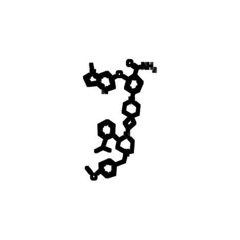 COc1ccc(CN2CCN(C3CC4(CCN(c5ccc(C(N)=O)c(Oc6cnc7ccn(C)c7c6)c5)CC4)C3)C(c3ccccc3C(C)C)C2)cc1